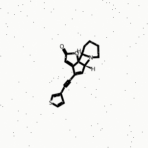 O=C1C=C2C(C#Cc3ccsc3)=C[C@H]3N4CCCC[C@@H]4C23O1